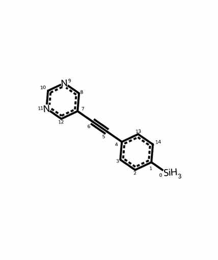 [SiH3]c1ccc(C#Cc2cncnc2)cc1